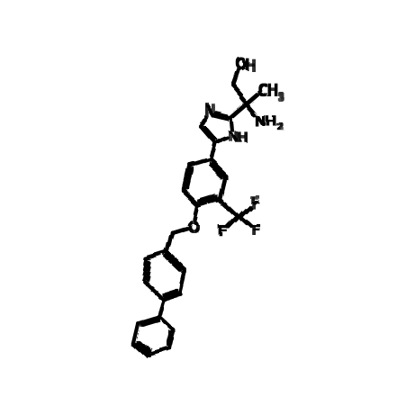 CC(N)(CO)c1ncc(-c2ccc(OCc3ccc(-c4ccccc4)cc3)c(C(F)(F)F)c2)[nH]1